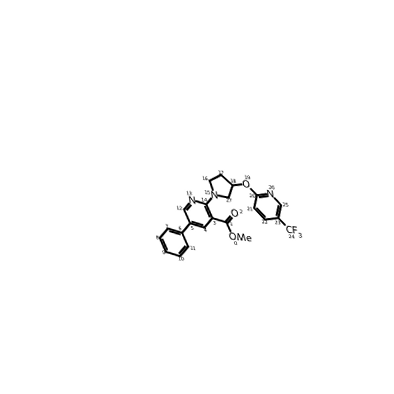 COC(=O)c1cc(-c2ccccc2)cnc1N1CCC(Oc2ccc(C(F)(F)F)cn2)C1